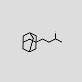 CC(F)CCC12CC3CC(CC(C3)C1)C2